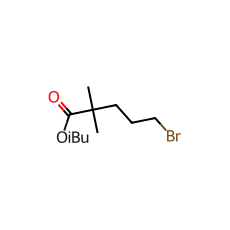 CC(C)COC(=O)C(C)(C)CCCBr